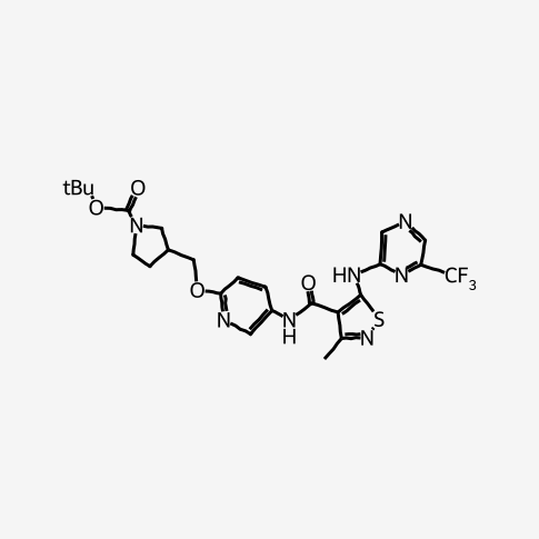 Cc1nsc(Nc2cncc(C(F)(F)F)n2)c1C(=O)Nc1ccc(OCC2CCN(C(=O)OC(C)(C)C)C2)nc1